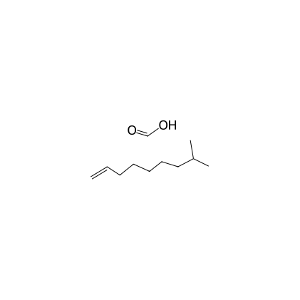 C=CCCCCCC(C)C.O=CO